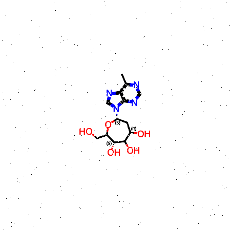 Cc1ncnc2c1ncn2[C@@H]1C[C@@H](O)C(O)[C@H](O)C(CO)O1